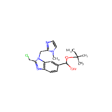 Cn1ccnc1Cn1c(CCl)nc2ccc(C(O)OC(C)(C)C)cc21